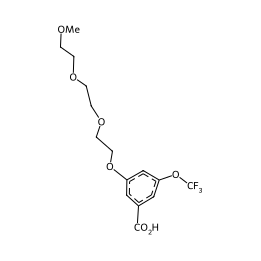 COCCOCCOCCOc1cc(OC(F)(F)F)cc(C(=O)O)c1